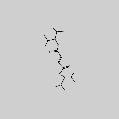 CC(C)C(OC(=O)/C=C/C(=O)OC(C(C)C)C(C)C)C(C)C